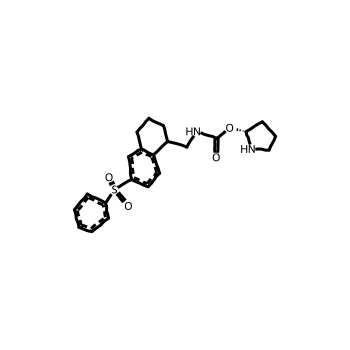 O=C(NCC1CCCc2cc(S(=O)(=O)c3ccccc3)ccc21)O[C@@H]1CCCN1